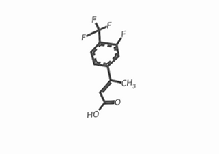 C/C(=C\C(=O)O)c1ccc(C(F)(F)F)c(F)c1